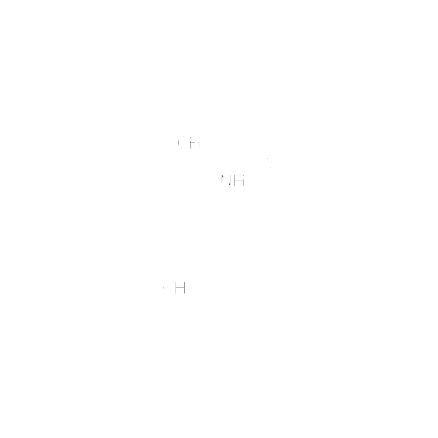 CCCCC(C)N[C]=S